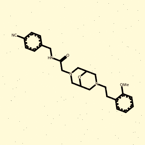 COc1ccccc1CCN1CC2CN(CC(=O)NCc3ccc(C#N)cc3)CC(C1)O2